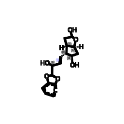 OC1C[C@@H]2[C@@H](/C=C/[C@H](O)C3Oc4ccccc4O3)[C@H](O)C[C@@H]2O1